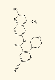 Cc1cc(O)nc2ccc(NC(=O)c3cc(C#N)cnc3N3CCOCC3)cc12